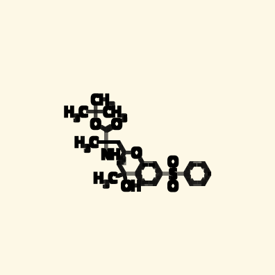 CC(C)(C)OC(=O)C(C)(N)CC1CC(C)(O)c2ccc(S(=O)(=O)c3ccccc3)cc2O1